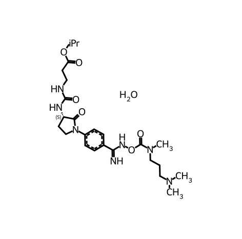 CC(C)OC(=O)CCNC(=O)N[C@H]1CCN(c2ccc(C(=N)NOC(=O)N(C)CCCN(C)C)cc2)C1=O.O